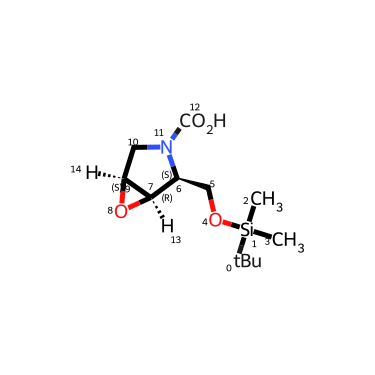 CC(C)(C)[Si](C)(C)OC[C@H]1[C@H]2O[C@H]2CN1C(=O)O